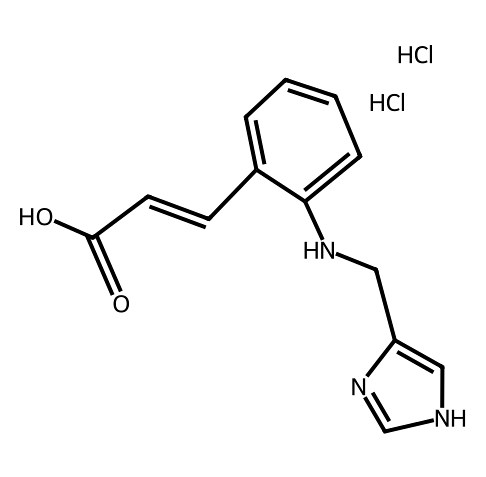 Cl.Cl.O=C(O)C=Cc1ccccc1NCc1c[nH]cn1